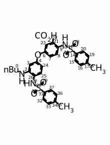 CCCCNc1cc(Oc2ccc(NS(=O)(=O)c3ccc(C)cc3)c(C(=O)O)c2)ccc1NS(=O)(=O)c1ccc(C)cc1